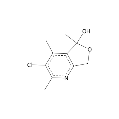 Cc1nc2c(c(C)c1Cl)C(C)(O)OC2